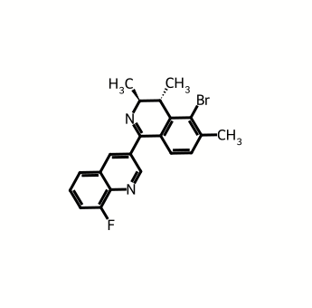 Cc1ccc2c(c1Br)[C@@H](C)[C@H](C)N=C2c1cnc2c(F)cccc2c1